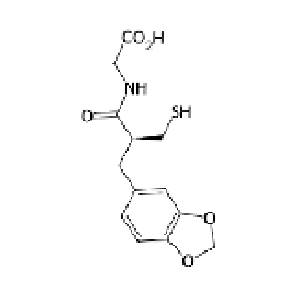 O=C(O)CNC(=O)[C@@H](CS)Cc1ccc2c(c1)OCO2